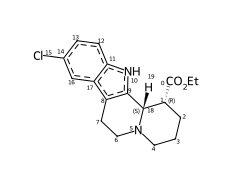 CCOC(=O)[C@@H]1CCCN2CCc3c([nH]c4ccc(Cl)cc34)[C@H]12